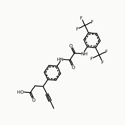 CC#CC(CC(=O)O)c1ccc(NC(=O)C(=O)Nc2cc(C(F)(F)F)ccc2C(F)(F)F)cc1